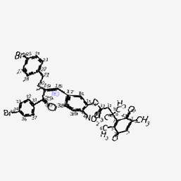 CC1=CC(=O)C(C)=C(C(C)(C)CC(=O)Oc2cc(/C=C(/SCc3ccc(Br)cc3)C(=O)c3ccc(Br)cc3)ccc2[N+](=O)[O-])C1=O